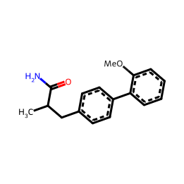 COc1ccccc1-c1ccc(CC(C)C(N)=O)cc1